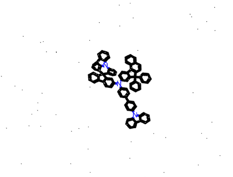 c1ccc(C2(c3ccccc3)c3cc(N(c4ccc(-c5ccc(-n6c7ccccc7c7ccccc76)cc5)cc4)c4ccc5c(c4)C4(c6ccccc6-5)c5ccccc5-n5c6ccccc6c6cccc4c65)ccc3-c3c2ccc2ccccc32)cc1